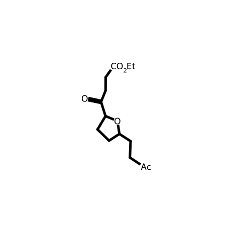 CCOC(=O)CCC(=O)C1CCC(CCC(C)=O)O1